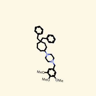 COc1cc(CN2CCN(C3CCCC(Cc4ccccc4)(Cc4ccccc4)CC3)CC2)cc(OC)c1OC